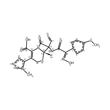 CSc1ccc(C(=NO)C(=O)NC2(C=S)C(=O)N3C(C(=O)O)=C(c4nnnn4C)CS[C@H]32)cc1